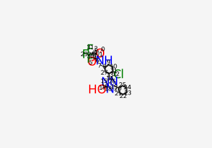 CO[C@](C)(C(=O)NCc1ccc(Cl)c(-c2nc(O)nc(-c3ccccc3)n2)c1)C(F)(F)F